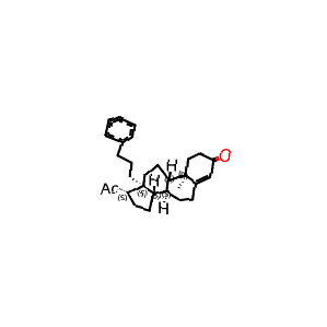 CC(=O)[C@H]1CC[C@H]2[C@@H]3CCC4=CC(=O)CC[C@]4(C)[C@H]3CC[C@]12CCCc1ccccc1